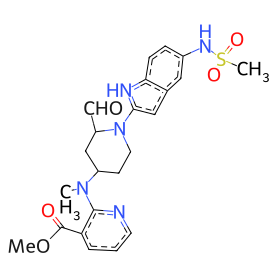 COC(=O)c1cccnc1N(C)C1CCN(c2cc3cc(NS(C)(=O)=O)ccc3[nH]2)C(C=O)C1